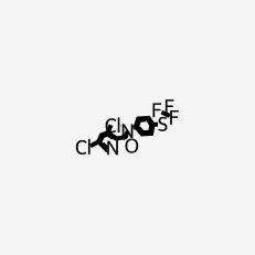 CN(C(=O)c1ncc(Cl)cc1Cl)c1ccc(SC(F)(F)F)cc1